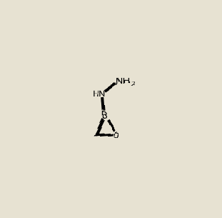 NNB1CO1